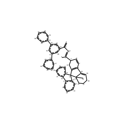 C=C(/N=C(\C)C1C=CC2=C(C1)C1(c3ccccc3-c3ccccc31)C1(C)CCCC=C21)c1cc(-c2ccccc2)cc(-c2ccccc2)c1